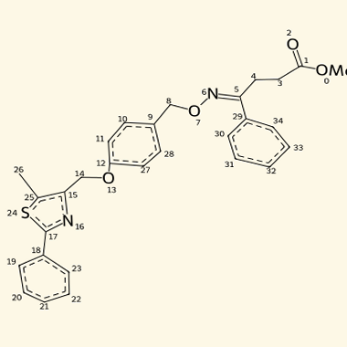 COC(=O)CCC(=NOCc1ccc(OCc2nc(-c3ccccc3)sc2C)cc1)c1ccccc1